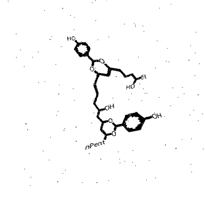 CCCCCC1CC(CC(O)CCCC2CC(CCCC(O)CC)OC(c3ccc(O)cc3)O2)OC(c2ccc(O)cc2)O1